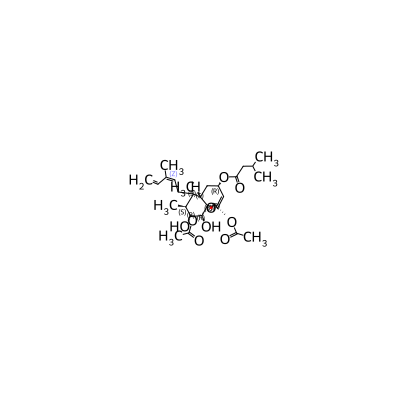 C=C/C(C)=C\C[C@]1(C)[C@H](C)[C@@H](O)[C@H](O)[C@@]23C(=C[C@H](OC(=O)CC(C)C)C[C@@H]12)[C@@H](OC(C)=O)O[C@H]3OC(C)=O